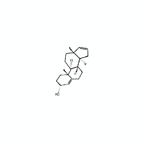 C[C@@]12C=CC[C@H]1[C@@H]1CCC3=C[C@H](O)CC[C@]3(C)[C@H]1CC2